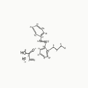 C=CC(=O)O.CCCCc1ccccc1N=Nc1ccccc1.F